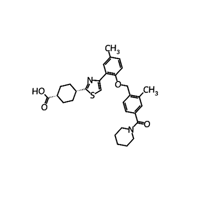 Cc1ccc(OCc2ccc(C(=O)N3CCCCC3)cc2C)c(-c2csc([C@H]3CC[C@@H](C(=O)O)CC3)n2)c1